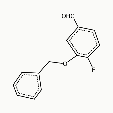 O=Cc1ccc(F)c(OCc2ccccc2)c1